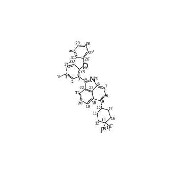 Cc1cc(C2=Nc3ccc(C4CCC(F)(F)CC4)c4cccc2c34)c2oc3ccccc3c2c1